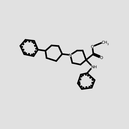 COC(=O)C1(Nc2ccccc2)CCN(C2CCC(c3ccccc3)CC2)CC1